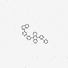 c1ccc2c(c1)ccc1oc3cc4oc5ccc(-c6c7ccccc7c(-c7ccc8sc9ccccc9c8c7)c7ccccc67)cc5c4cc3c12